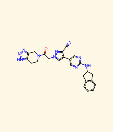 N#Cc1nn(CC(=O)N2CCc3[nH]nnc3C2)cc1-c1cnc(NC2Cc3ccccc3C2)nc1